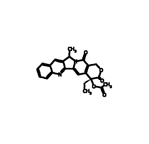 CC[C@@]1(OC(C)=O)C(=O)OCc2c1cc1n(c2=O)C(C)c2cc3ccccc3nc2-1